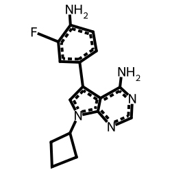 Nc1ccc(-c2cn(C3CCC3)c3ncnc(N)c23)cc1F